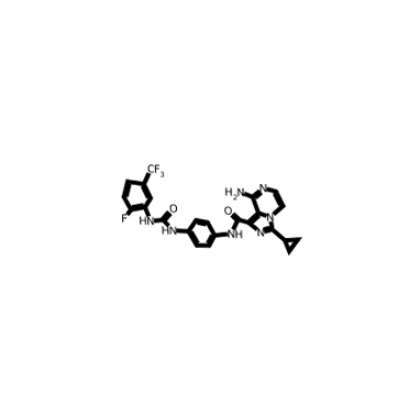 Nc1nccn2c(C3CC3)nc(C(=O)Nc3ccc(NC(=O)Nc4cc(C(F)(F)F)ccc4F)cc3)c12